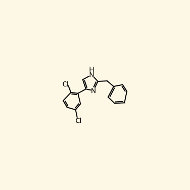 Clc1ccc(Cl)c(-c2c[nH]c(Cc3ccccc3)n2)c1